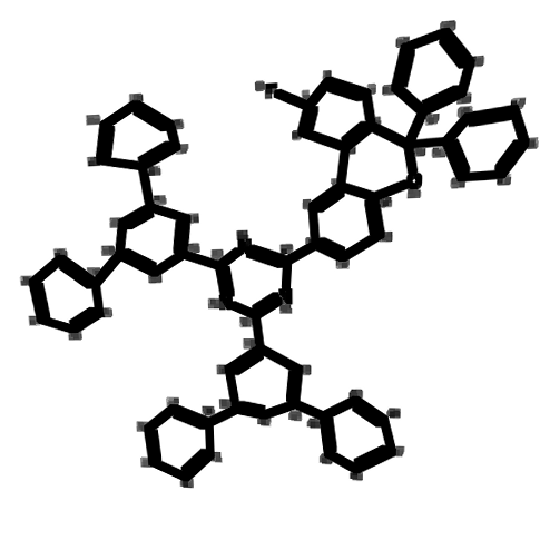 Fc1ccc2c(c1)-c1cc(-c3nc(-c4cc(-c5ccccc5)cc(-c5ccccc5)c4)nc(-c4cc(-c5ccccc5)cc(-c5ccccc5)c4)n3)ccc1OC2(c1ccccc1)c1ccccc1